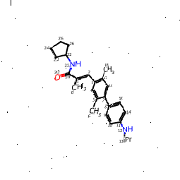 C/C(=C\c1cc(C)c(-c2ccc(NC(C)C)cc2)cc1C)C(=O)NC1CCCC1